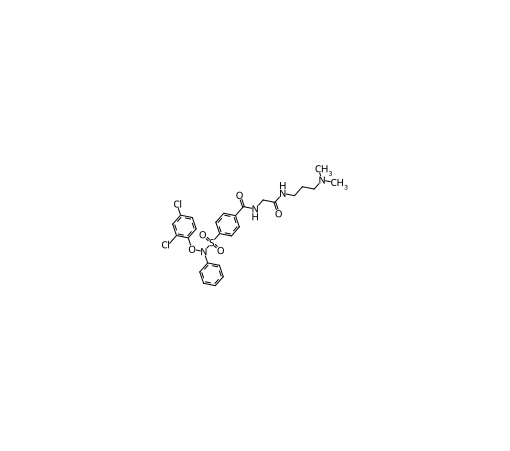 CN(C)CCCNC(=O)CNC(=O)c1ccc(S(=O)(=O)N(Oc2ccc(Cl)cc2Cl)c2ccccc2)cc1